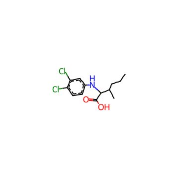 CCCC(C)C(Nc1ccc(Cl)c(Cl)c1)C(=O)O